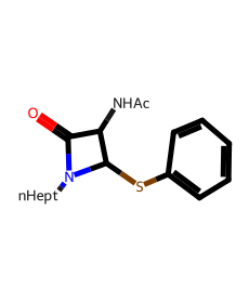 CCCCCCCN1C(=O)C(NC(C)=O)C1Sc1ccccc1